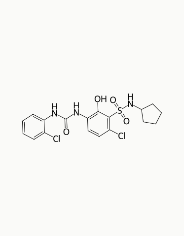 O=C(Nc1ccccc1Cl)Nc1ccc(Cl)c(S(=O)(=O)NC2CCCC2)c1O